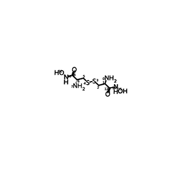 NC(CSSC[C@H](N)C(=O)NO)C(=O)NO